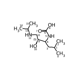 CC(C)CC(NC(=O)O)[C@@H](O)CNC(C)C